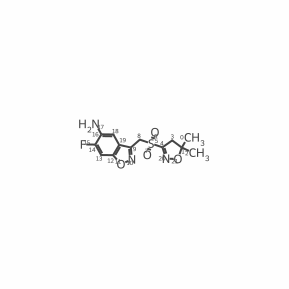 CC1(C)CC(S(=O)(=O)Cc2noc3cc(F)c(N)cc23)=NO1